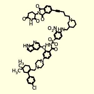 CC1(C)CCC(CN2CCN(c3ccc(C(=O)NS(=O)(=O)c4ccc(NCC5CCCN(CCCC#Cc6ccc7c(c6)C(=O)N(C6CCC(=O)NC6=O)C7=O)C5)c([N+](=O)[O-])c4)c(Oc4cnc5[nH]ccc5c4)c3)CC2)=C(c2ccc(Cl)cc2)C1